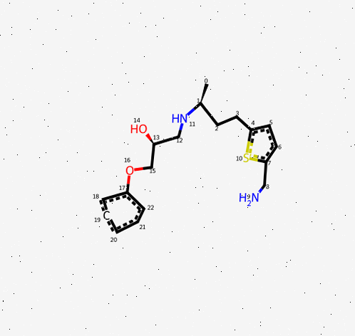 C[C@@H](CCc1ccc(CN)s1)NC[C@H](O)COc1ccccc1